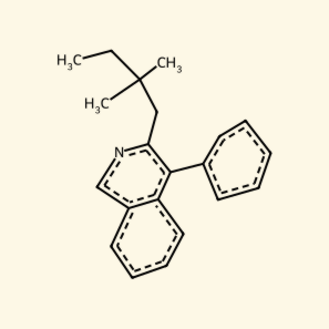 CCC(C)(C)Cc1ncc2ccccc2c1-c1ccccc1